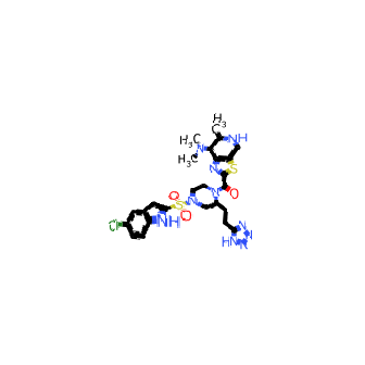 CC1NCc2sc(C(=O)N3CCN(S(=O)(=O)c4cc5cc(Cl)ccc5[nH]4)CC3CCc3nnn[nH]3)nc2C1N(C)C